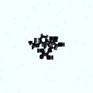 NC1(c2cccc(OC(F)(F)F)c2F)CCCC(O)C1=O.O=C(O)C(=O)O